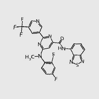 CN(c1cc(C(=O)Nc2cccc3nsnc23)nc(-c2cncc(C(F)(F)F)c2)n1)c1ccc(F)cc1F